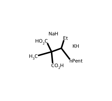 CCCCCC(CC)C(C)(C(=O)O)C(=O)O.[KH].[NaH]